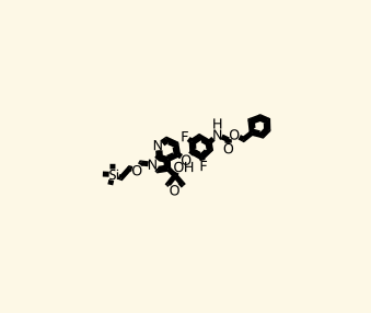 C[Si](C)(C)CCOCn1cc(C2(O)COC2)c2c(Oc3c(F)cc(NC(=O)OCc4ccccc4)cc3F)ccnc21